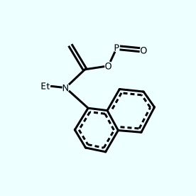 C=C(OP=O)N(CC)c1cccc2ccccc12